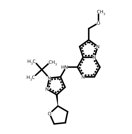 COCc1cc2c(Nc3cc([C@H]4C[CH]CO4)nn3C(C)(C)C)nccn2n1